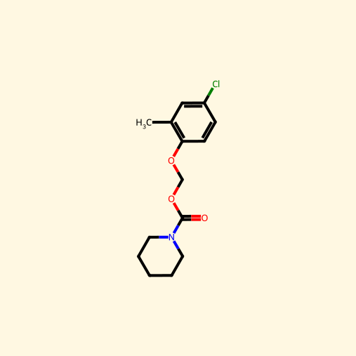 Cc1cc(Cl)ccc1OCOC(=O)N1CCCCC1